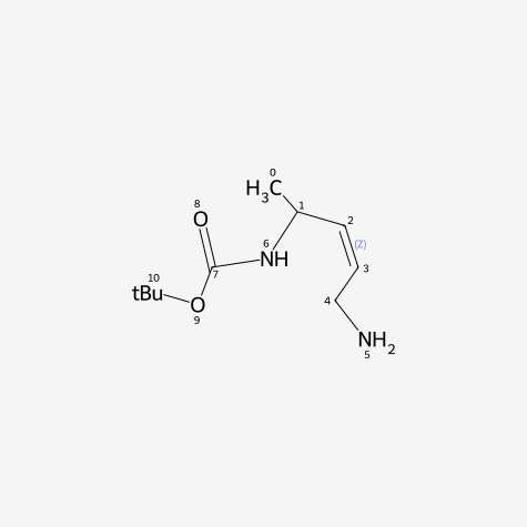 CC(/C=C\CN)NC(=O)OC(C)(C)C